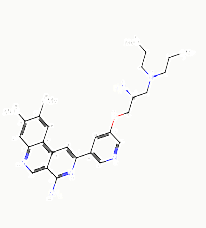 COCCN(CCOC)C[C@H](N)COc1cncc(-c2cc3c(cnc4cc(OC)c(OC)cc43)c(N)n2)c1